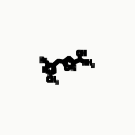 Cn1cc(Cc2cc(C(N)O)no2)c(Br)n1